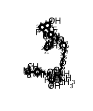 C#Cc1c(F)ccc2cc(O)cc(-c3ncc4c(N5CC6CCC(C5)N6)nc(OC5CCN(CCCCOCCC(=O)NC(C(=O)N6C[C@H](O)C[C@H]6C(=O)NCc6ccc(-c7scnc7C)cc6)C(C)(C)C)CC5)nc4c3F)c12